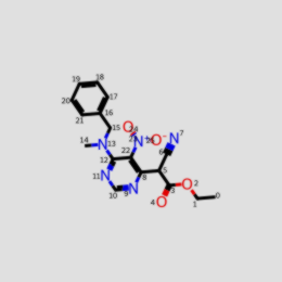 CCOC(=O)C(C#N)c1ncnc(N(C)Cc2ccccc2)c1[N+](=O)[O-]